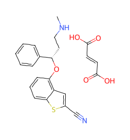 CNCC[C@H](Oc1cccc2sc(C#N)cc12)c1ccccc1.O=C(O)C=CC(=O)O